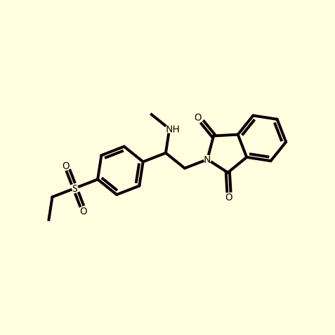 CCS(=O)(=O)c1ccc(C(CN2C(=O)c3ccccc3C2=O)NC)cc1